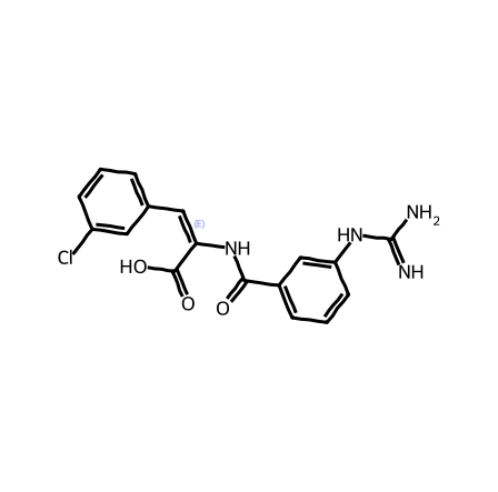 N=C(N)Nc1cccc(C(=O)N/C(=C/c2cccc(Cl)c2)C(=O)O)c1